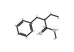 CCC(Cc1ccccc1)C(=O)OC